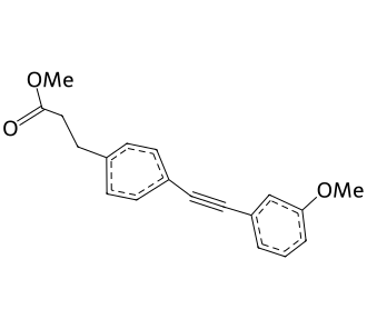 COC(=O)CCc1ccc(C#Cc2cccc(OC)c2)cc1